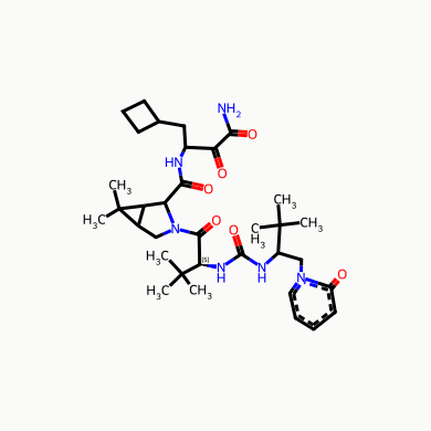 CC(C)(C)C(Cn1ccccc1=O)NC(=O)N[C@H](C(=O)N1CC2C(C1C(=O)NC(CC1CCC1)C(=O)C(N)=O)C2(C)C)C(C)(C)C